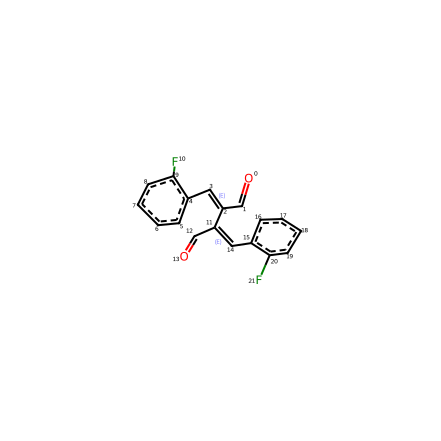 O=CC(=C/c1ccccc1F)/C(C=O)=C\c1ccccc1F